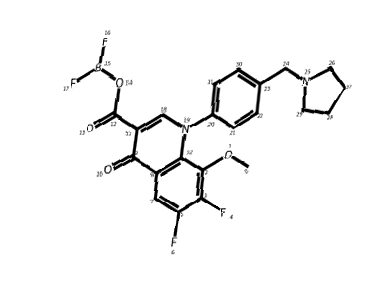 COc1c(F)c(F)cc2c(=O)c(C(=O)OB(F)F)cn(-c3ccc(CN4CCCC4)cc3)c12